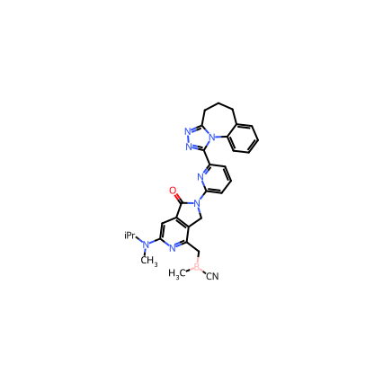 CB(C#N)Cc1nc(N(C)C(C)C)cc2c1CN(c1cccc(-c3nnc4n3-c3ccccc3CCC4)n1)C2=O